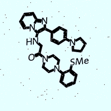 CSc1ccccc1N1CCN(C(=O)CNc2c(-c3ccc(N4CCCC4)cc3)nc3ccccn23)CC1